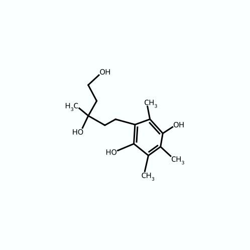 Cc1c(C)c(O)c(CCC(C)(O)CCO)c(C)c1O